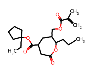 C=C(C)C(=O)OCC1CC(C(=O)OC2(CC)CCCC2)CC(=O)OC1CCC